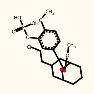 COc1ccc(C2(OC)OOC23C2CCCC3CC(CCCl)C2)cc1OP(=O)(O)O